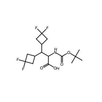 CC(C)(C)OC(=O)NC(C(=O)O)C(C1CC(F)(F)C1)C1CC(F)(F)C1